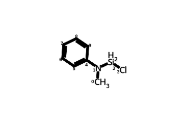 CN([SiH2]Cl)c1ccccc1